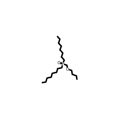 CCCCCCCCP(=O)(CCCCCCCC)COCCCC